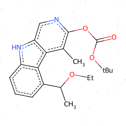 CCOC(C)c1cccc2[nH]c3cnc(OC(=O)OC(C)(C)C)c(C)c3c12